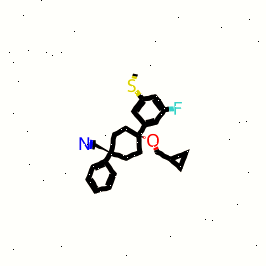 CSc1cc(F)cc([C@]2(OCC3CC3)CC[C@@](C#N)(c3ccccc3)CC2)c1